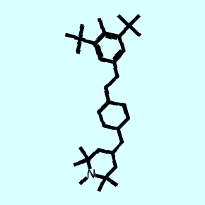 Cc1c(C(C)(C)C)cc(CCC2CCC(CC3CC(C)(C)N(C)C(C)(C)C3)CC2)cc1C(C)(C)C